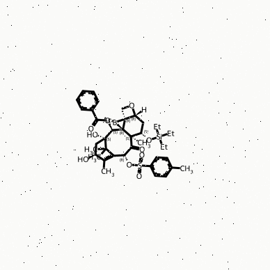 CC[Si](CC)(CC)O[C@H]1C[C@H]2OC[C@]23B(C(C)=O)[C@@]32[C@H](OC(=O)c3ccccc3)[C@]3(O)C[C@H](O)C(C)=C([C@@H](OS(=O)(=O)c4ccc(C)cc4)C(=O)[C@]12C)C3(C)C